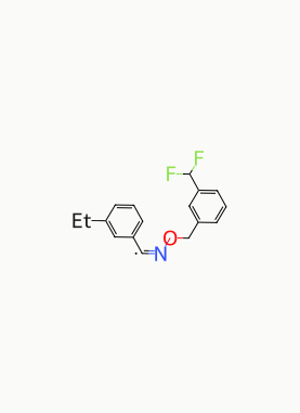 CCc1cccc(/[C]=N\OCc2cccc(C(F)F)c2)c1